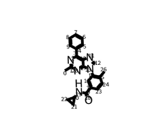 Cc1nc(-c2ccccc2)c2ncn(-c3cc(C(=O)NC4CC4)ccc3C)c2n1